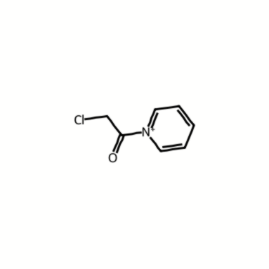 O=C(CCl)[n+]1ccccc1